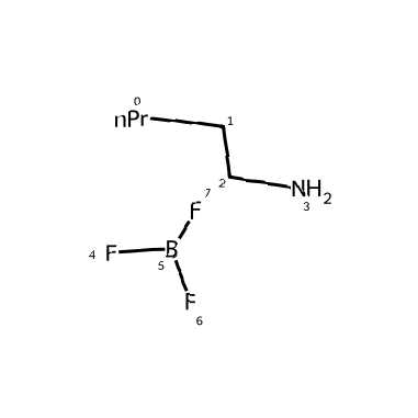 CCCCCN.FB(F)F